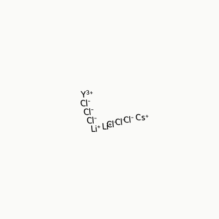 [Cl-].[Cl-].[Cl-].[Cl-].[Cl-].[Cl-].[Cs+].[Li+].[Li+].[Y+3]